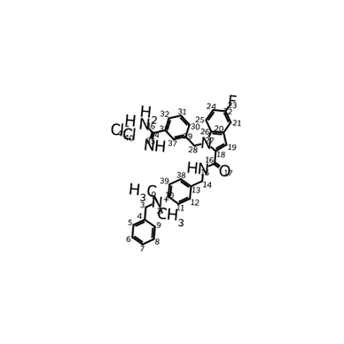 C[N+](C)(Cc1ccccc1)c1ccc(CNC(=O)c2cc3cc(F)ccc3n2Cc2cccc(C(=N)N)c2)cc1.Cl.[Cl-]